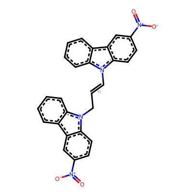 O=[N+]([O-])c1ccc2c(c1)c1ccccc1n2/C=C/Cn1c2ccccc2c2cc([N+](=O)[O-])ccc21